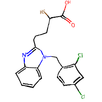 O=C(O)C(S)CCc1nc2ccccc2n1Cc1ccc(Cl)cc1Cl